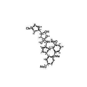 COc1cccc(-c2nnc(NS(=O)(=O)C[C@H](O)c3ncc(Cl)s3)n2-c2c(OC)cccc2OC)n1